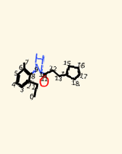 CCc1cccc(C)c1NC(=O)CCC1CCCC1